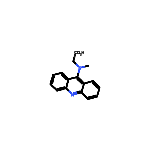 CN(CC(=O)O)c1c2ccccc2nc2ccccc12